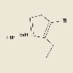 Br.Br.CCC1=[C]([Ti])CC=C1